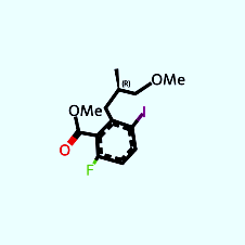 COC[C@H](C)Cc1c(I)ccc(F)c1C(=O)OC